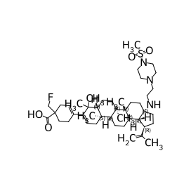 C=C(C)[C@@H]1CC[C@]2(NCCN3CCN(S(C)(=O)=O)CC3)CC[C@]3(C)[C@H](CC[C@@H]4[C@@]5(C)CC=C(C6=CCC(CF)(C(=O)O)CC6)C(C)(C)[C@@H]5CC[C@]43C)[C@@H]12